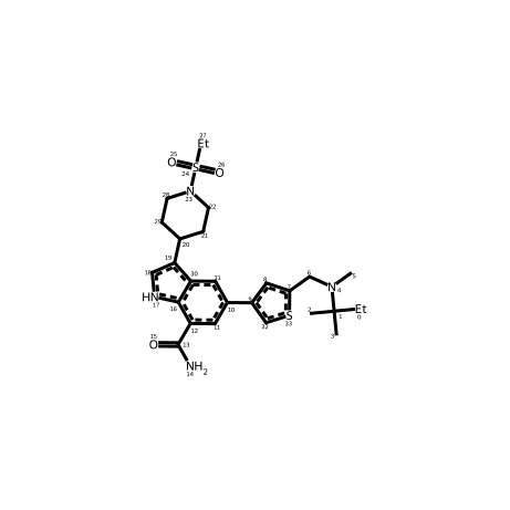 CCC(C)(C)N(C)Cc1cc(-c2cc(C(N)=O)c3[nH]cc(C4CCN(S(=O)(=O)CC)CC4)c3c2)cs1